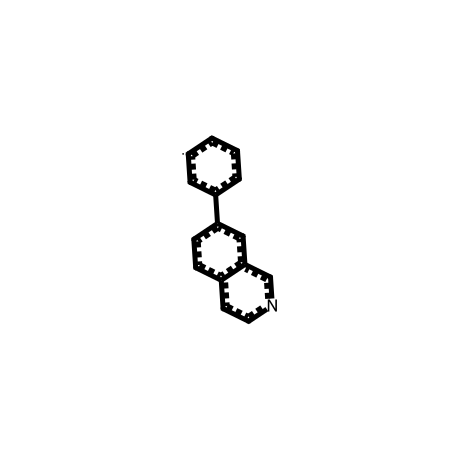 [c]1cccc(-c2ccc3ccncc3c2)c1